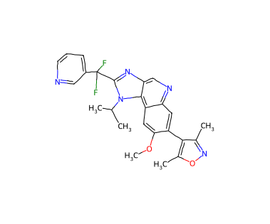 COc1cc2c(cc1-c1c(C)noc1C)ncc1nc(C(F)(F)c3cccnc3)n(C(C)C)c12